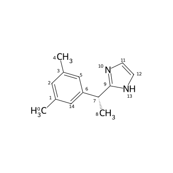 Cc1cc(C)cc([C@@H](C)c2ncc[nH]2)c1